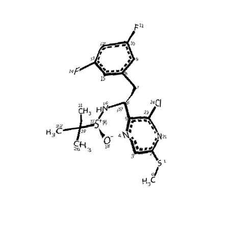 CSc1cnc([C@H](Cc2cc(F)cc(F)c2)N[S@@+]([O-])C(C)(C)C)c(Cl)n1